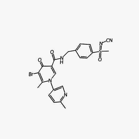 Cc1ccc(-n2cc(C(=O)NCc3ccc(S(C)(=O)=NC#N)cc3)c(=O)c(Br)c2C)cn1